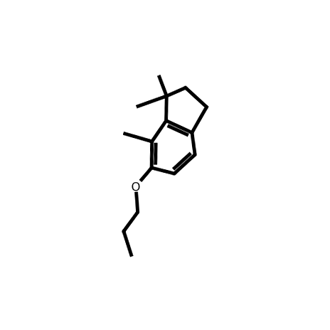 CCCOc1ccc2c(c1C)C(C)(C)CC2